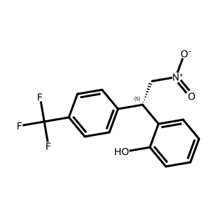 O=[N+]([O-])C[C@@H](c1ccc(C(F)(F)F)cc1)c1ccccc1O